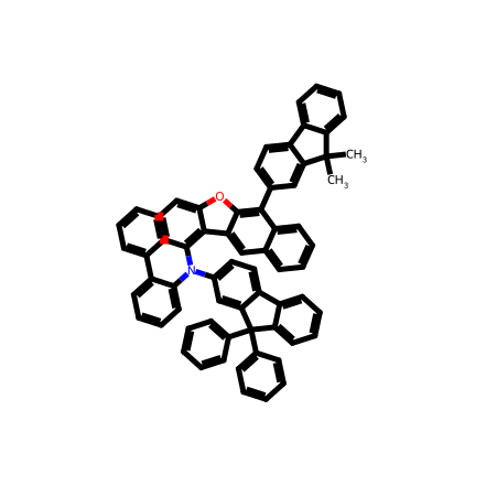 CC1(C)c2ccccc2-c2ccc(-c3c4ccccc4cc4c3oc3cccc(N(c5ccc6c(c5)C(c5ccccc5)(c5ccccc5)c5ccccc5-6)c5ccccc5-c5ccccc5)c34)cc21